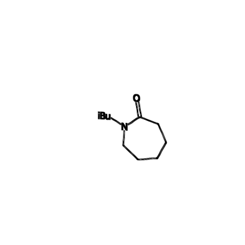 CCC(C)N1CCCCCC1=O